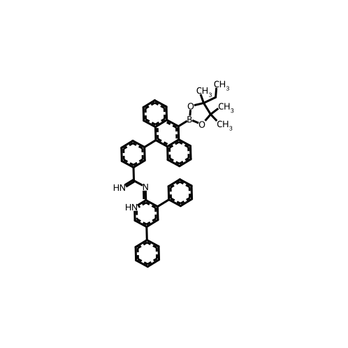 CCC1(C)OB(c2c3ccccc3c(-c3cccc(C(=N)/N=c4\[nH]cc(-c5ccccc5)cc4-c4ccccc4)c3)c3ccccc23)OC1(C)C